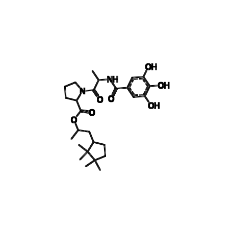 CC(CC1CCC(C)(C)C1(C)C)OC(=O)C1CCCN1C(=O)C(C)NC(=O)c1cc(O)c(O)c(O)c1